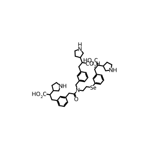 O=C(O)C(Cc1cccc(CC(=O)N(CC[Se]c2cccc(CC(C(=O)O)C3CCNC3)c2)Cc2cccc(CC(C(=O)O)C3CCNC3)c2)c1)C1CCNC1